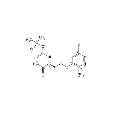 CC(C)(C)OC(=O)N[C@@H](CCCc1cc(F)cnc1N)C(=O)O